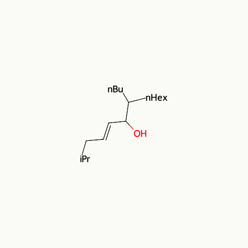 CCCCCCC(CCCC)C(O)C=CCC(C)C